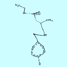 CCOC(=O)CC(C)NCc1ccc(Cl)cc1